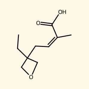 CCC1(CC=C(C)C(=O)O)COC1